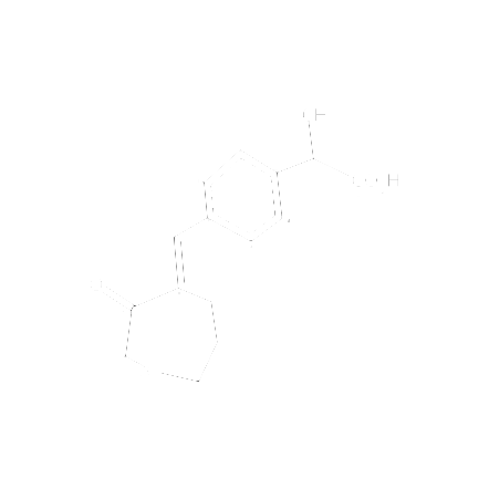 CC(C(=O)O)c1ccc(C=C2CCCCCC2=O)cc1